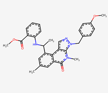 COC(=O)c1ccccc1NC(C)c1cc(C)cc2c(=O)n(C)c3c(cnn3Cc3ccc(OC)cc3)c12